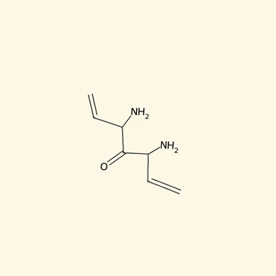 C=CC(N)C(=O)C(N)C=C